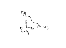 O=CC=S.O=CC=S.[CH3][Sn][CH2]CCCN